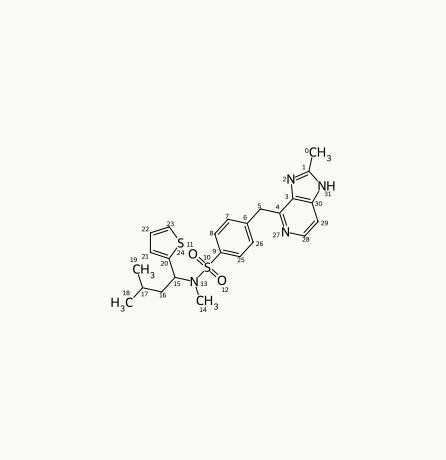 Cc1nc2c(Cc3ccc(S(=O)(=O)N(C)C(CC(C)C)c4cccs4)cc3)nccc2[nH]1